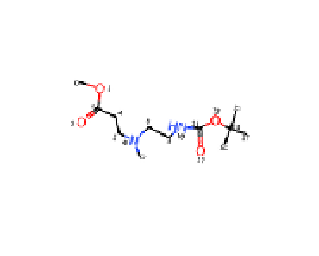 COC(=O)CCN(C)CCNC(=O)OC(C)(C)C